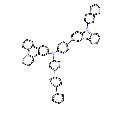 c1ccc(-c2ccc(-c3ccc(N(c4ccc(-c5ccc6c(c5)c5ccccc5n6-c5ccc6ccccc6c5)cc4)c4ccc5c6ccccc6c6ccccc6c5c4)cc3)cc2)cc1